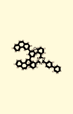 c1ccc(-c2ccc(-c3nc(-c4ccccc4)nc(-c4cccc5oc6c(-c7ccc8ccc9ccccc9c8c7)cc(-c7ccc8ccc9ccccc9c8c7)cc6c45)n3)cc2)cc1